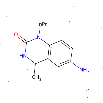 CCCN1C(=O)NC(C)c2cc(N)ccc21